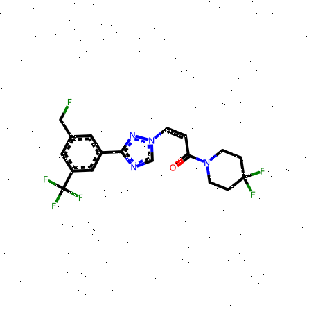 O=C(/C=C\n1cnc(-c2cc(CF)cc(C(F)(F)F)c2)n1)N1CCC(F)(F)CC1